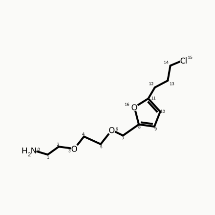 NCCOCCOCc1ccc(CCCCl)o1